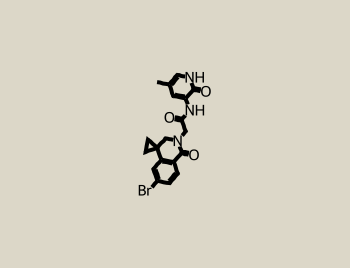 Cc1c[nH]c(=O)c(NC(=O)CN2CC3(CC3)c3cc(Br)ccc3C2=O)c1